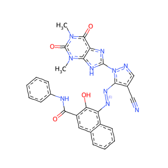 Cn1c(=O)c2nc(-n3ncc(C#N)c3/N=N/c3c(O)c(C(=O)Nc4ccccc4)cc4ccccc34)[nH]c2n(C)c1=O